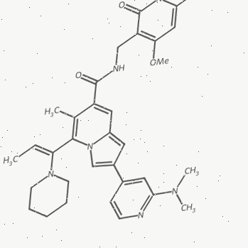 C/C=C(/c1c(C)c(C(=O)NCc2c(OC)cc(C)[nH]c2=O)cc2cc(-c3ccnc(N(C)C)c3)cn12)N1CCCCC1